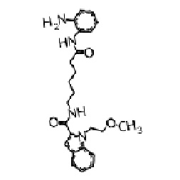 COCCn1c(C(=O)NCCCCCC(=O)Nc2ccccc2N)cc2ccccc21